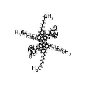 CCCCCCCCc1ccc(C2(c3ccc(CCCCCCCC)cc3)c3cc(-c4ccc(C=O)c5nsnc45)sc3-c3sc4c5c(sc4c32)-c2sc(-c3ccc(C=O)c4nsnc34)cc2C5(c2ccc(CCCCCCCC)cc2)c2ccc(CCCCCCCC)cc2)cc1